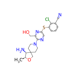 C[C@@H]1OCC2(CCN(c3ncc(Sc4cccc(C#N)c4Cl)nc3CO)CC2)[C@@H]1N